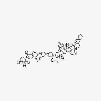 [2H]C([2H])([2H])n1cc(-c2ccnc(N3CCc4c(sc5c4CCCC5)C3=O)c2CO)cc(Nc2ccc(N3CCN([C@@H]4CCN(c5ccc6c(c5)CN([C@H]5CCC(=O)NC5=O)C6=O)[C@@H](C)C4)C[C@@H]3C)cn2)c1=O